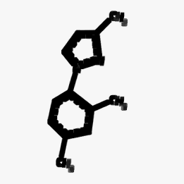 Cc1ccc(-n2ccc(C)n2)c(C)c1